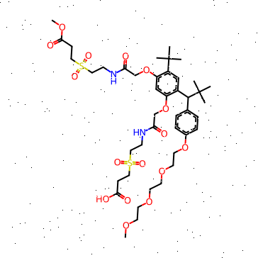 COCCOCCOCCOc1ccc(C(c2cc(C(C)(C)C)c(OCC(=O)NCCS(=O)(=O)CCC(=O)OC)cc2OCC(=O)NCCS(=O)(=O)CCC(=O)O)C(C)(C)C)cc1